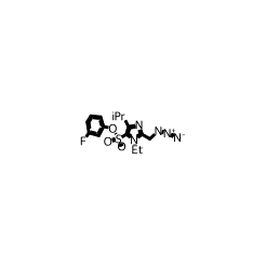 CCn1c(CN=[N+]=[N-])nc(C(C)C)c1S(=O)(=O)Oc1cccc(F)c1